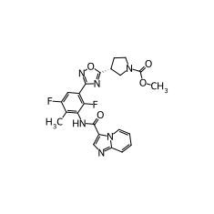 COC(=O)N1CC[C@@H](c2nc(-c3cc(F)c(C)c(NC(=O)c4cnc5ccccn45)c3F)no2)C1